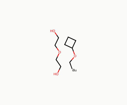 CCC(C)COC1CCC1.OCCOCCO